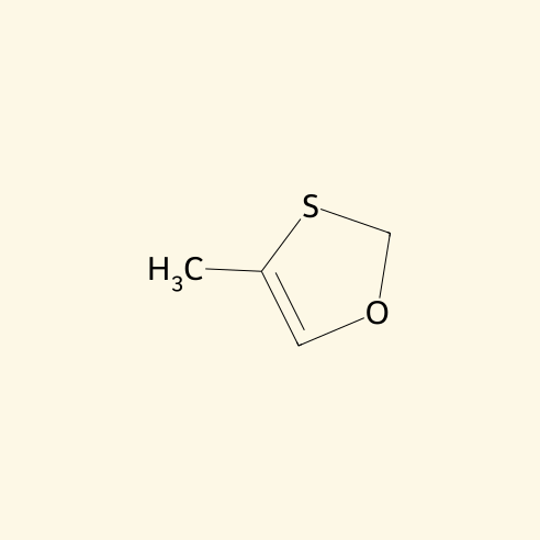 CC1=COCS1